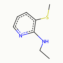 CCNc1ncccc1SC